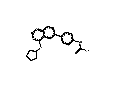 CC(=O)Nc1ccc(-c2ccc3ncnc(OC4CCCC4)c3c2)cc1